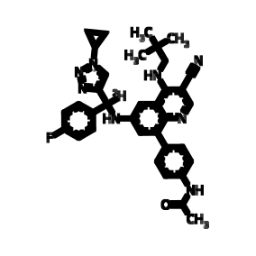 [2H]C(Nc1cc(-c2ccc(NC(C)=O)cc2)c2ncc(C#N)c(NCC(C)(C)C)c2c1)(c1ccc(F)cc1)c1cn(C2CC2)nn1